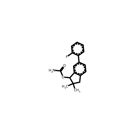 CC1(C)Cc2ccc(-c3ccccc3F)cc2C1OC(N)=O